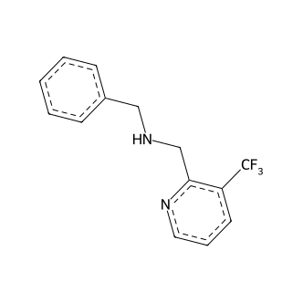 FC(F)(F)c1cccnc1CNCc1ccccc1